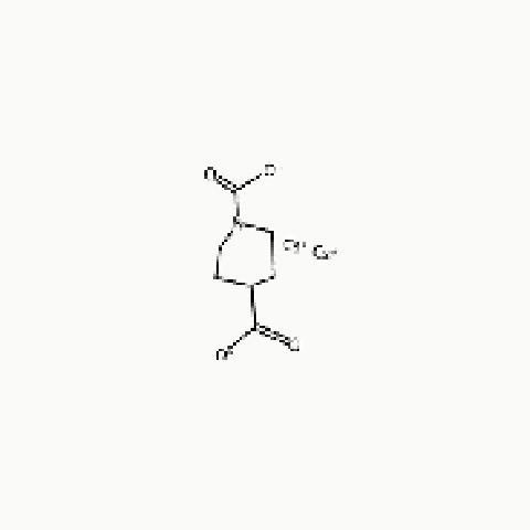 O=C([O-])C1CCN(C(=O)[O-])CC1.[Cs+].[Cs+]